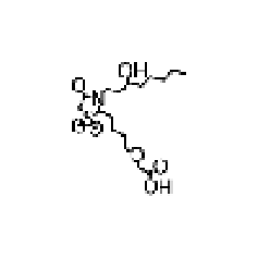 CCCCCC(O)CCN1C(=O)CS(=O)(=O)C1CCCCOCC(=O)O